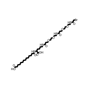 O=C(O)CCCCCCCCCCCCC(=O)NC(CCCCNC(=O)CCOCCOCCNC(=O)CCOCCOCCNC(=O)CBr)C(=O)O